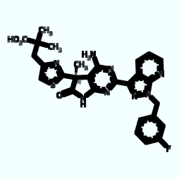 CC(C)(Cc1csc([C@]2(C)C(=O)Nc3nc(-c4nn(Cc5cccc(F)c5)c5ncccc45)nc(N)c32)n1)C(=O)O